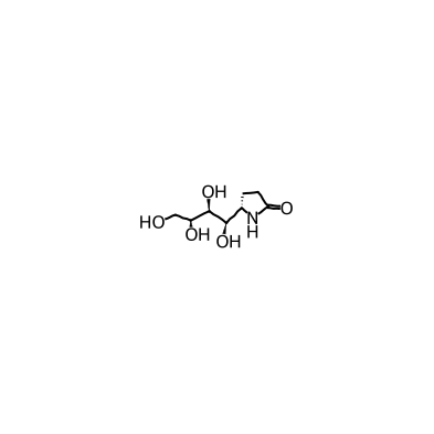 O=C1CC[C@@H]([C@@H](O)[C@H](O)[C@@H](O)CO)N1